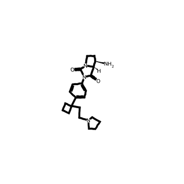 N[C@@H]1CCN2C(=O)N(c3ccc(C4(CCN5CCCC5)CCC4)cc3)C(=O)[C@H]12